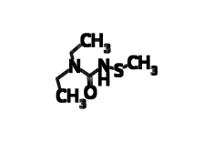 CCN(CC)C(=O)NSC